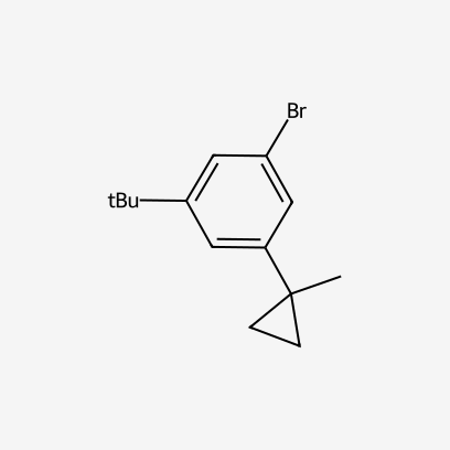 CC(C)(C)c1cc(Br)cc(C2(C)CC2)c1